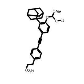 CCOC(OC)Oc1ccc(C#Cc2ccc(CCC(=O)O)cc2)cc1C12CC3CC(CC(C3)C1)C2